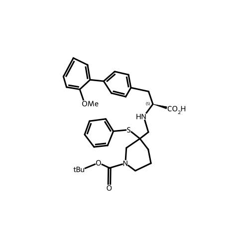 COc1ccccc1-c1ccc(C[C@H](NCC2(Sc3ccccc3)CCCN(C(=O)OC(C)(C)C)C2)C(=O)O)cc1